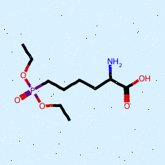 CCOP(=O)(CCCCC(N)C(=O)O)OCC